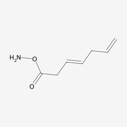 C=CCC=CCC(=O)ON